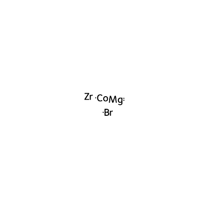 [Br].[Co].[Mg].[Zr]